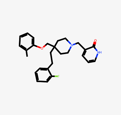 Cc1ccccc1OCC1(CCc2ccccc2F)CCN(Cc2ccc[nH]c2=O)CC1